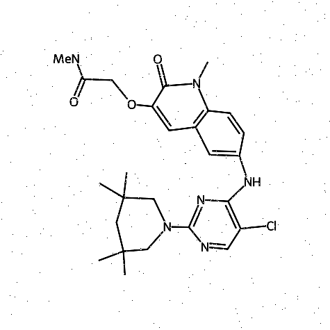 CNC(=O)COc1cc2cc(Nc3nc(N4CC(C)(C)CC(C)(C)C4)ncc3Cl)ccc2n(C)c1=O